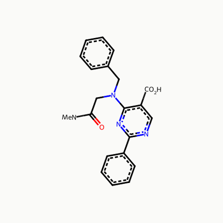 CNC(=O)CN(Cc1ccccc1)c1nc(-c2ccccc2)ncc1C(=O)O